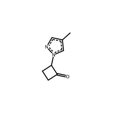 Cc1cnn(C2CCC2=O)c1